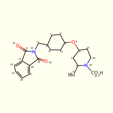 CC(C)(C)C1CC(OC2CCC(CN3C(=O)c4ccccc4C3=O)CC2)CCN1C(=O)O